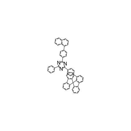 c1ccc(-c2nc(-c3ccc(-c4cccc5c4C4(c6ccccc6-c6ccccc64)c4ccccc4-5)cc3)nc(-c3ccc(-c4cccc5ccccc45)cc3)n2)cc1